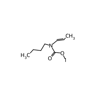 CC=CN(CCCC)C(=O)OI